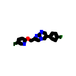 Fc1ccc(-c2cnc3nc(COc4ccc(F)cn4)cn3c2)cc1